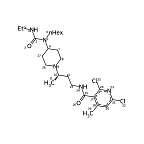 CCCCCCN(C(=O)NCC)C1CCN([C@H](C)CCNC(=O)c2c(C)cc(Cl)nc2Cl)CC1